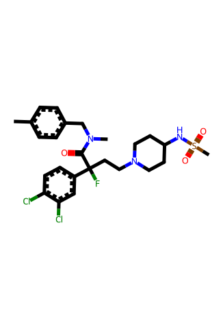 Cc1ccc(CN(C)C(=O)C(F)(CCN2CCC(NS(C)(=O)=O)CC2)c2ccc(Cl)c(Cl)c2)cc1